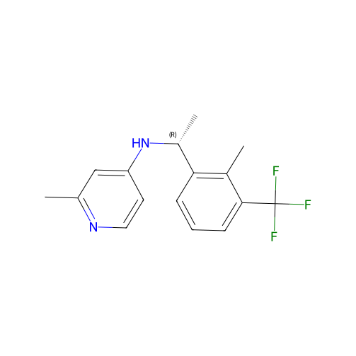 Cc1cc(N[C@H](C)c2cccc(C(F)(F)F)c2C)ccn1